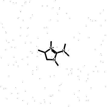 CC1CN(C)C(N(C)C)=[N+]1C